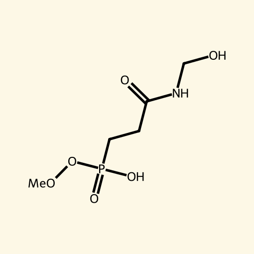 COOP(=O)(O)CCC(=O)NCO